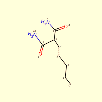 CCCCCC(C(N)=O)C(N)=O